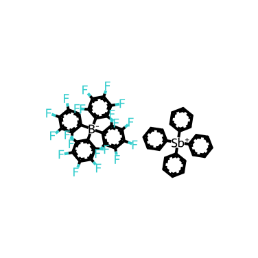 Fc1c(F)c(F)c([B-](c2c(F)c(F)c(F)c(F)c2F)(c2c(F)c(F)c(F)c(F)c2F)c2c(F)c(F)c(F)c(F)c2F)c(F)c1F.c1cc[c]([Sb+]([c]2ccccc2)([c]2ccccc2)[c]2ccccc2)cc1